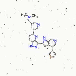 CN(C)Cc1cncc(-c2ccc3[nH]nc(-c4cc5c(-c6ccsc6)cncc5[nH]4)c3n2)c1